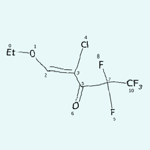 CCOC=C(Cl)C(=O)C(F)(F)C(F)(F)F